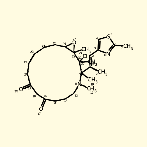 CC(=Cc1csc(C)n1)C1(C)N(C)CCCC(=O)CC(=O)CCCCCC2OC2(C)C1(C)C